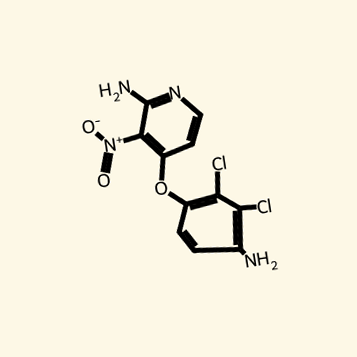 Nc1ccc(Oc2ccnc(N)c2[N+](=O)[O-])c(Cl)c1Cl